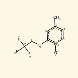 Cc1cc[n+]([O-])c(OCC(F)(F)F)c1